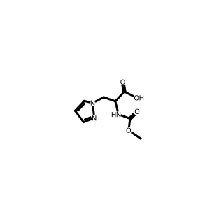 COC(=O)NC(Cn1cccn1)C(=O)O